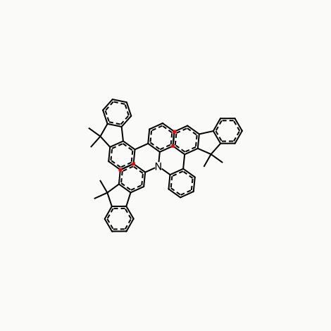 CC1(C)c2ccccc2-c2cc(N(c3ccccc3-c3cccc4c3-c3ccccc3C4(C)C)c3ccccc3-c3cccc4c3C(C)(C)c3ccccc3-4)ccc21